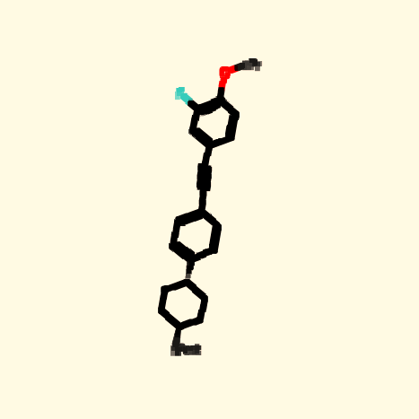 CCCCC[C@H]1CC[C@H](c2ccc(C#Cc3ccc(OCCC)c(F)c3)cc2)CC1